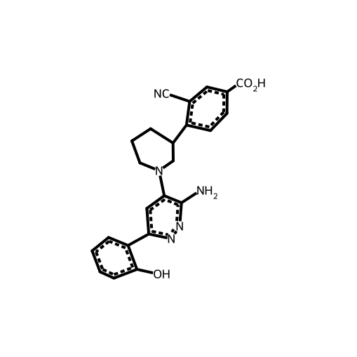 N#Cc1cc(C(=O)O)ccc1C1CCCN(c2cc(-c3ccccc3O)nnc2N)C1